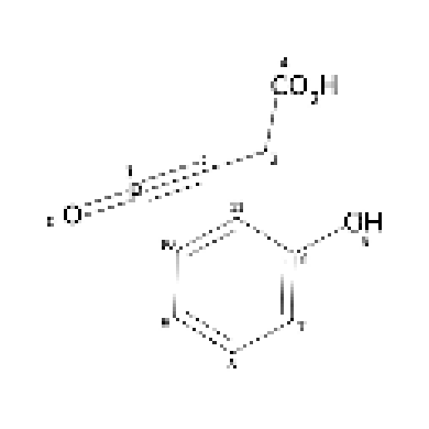 O=P#CCC(=O)O.Oc1ccccc1